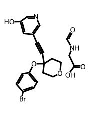 O=CNCC(=O)O.Oc1cncc(C#CC2(Oc3ccc(Br)cc3)CCOCC2)c1